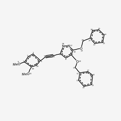 COc1ccc(C#Cc2cc(OCc3ccccc3)c(OCc3ccccc3)nn2)cc1OC